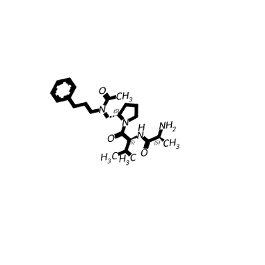 CC(=O)N(CCCc1ccccc1)C[C@@H]1CCCN1C(=O)[C@@H](NC(=O)[C@H](C)N)C(C)C